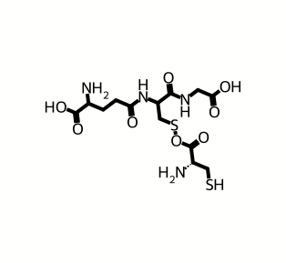 NC(CCC(=O)NC(CSOC(=O)[C@@H](N)CS)C(=O)NCC(=O)O)C(=O)O